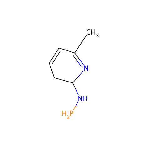 CC1=NC(NP)CC=C1